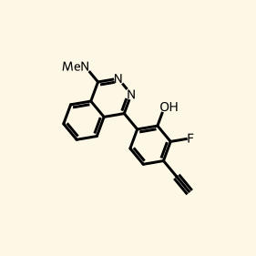 C#Cc1ccc(-c2nnc(NC)c3ccccc23)c(O)c1F